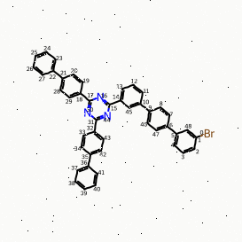 Brc1cccc(-c2ccc(-c3cccc(-c4nc(-c5ccc(-c6ccccc6)cc5)nc(-c5ccc(-c6ccccc6)cc5)n4)c3)cc2)c1